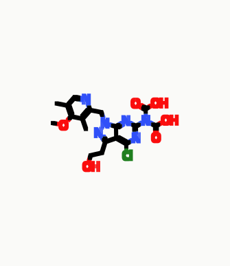 COc1c(C)cnc(Cn2nc(CCO)c3c(Cl)nc(N(C(=O)O)C(=O)O)nc32)c1C